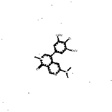 CCc1c(OC)cc(-c2cn(C)c(=O)c3cnc(N(C)C)cc23)cc1OC